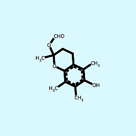 Cc1c(C)c2c(c(C)c1O)CCC(C)(OC=O)O2